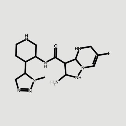 CN1N=NCC1C1CCNCC1NC(=O)C1C(N)NN2C=C(F)CNC12